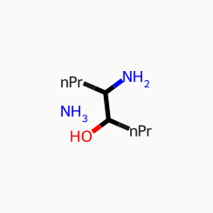 CCCC(N)C(O)CCC.N